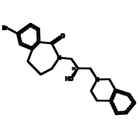 O=C1c2ccc(Br)cc2CCCN1C[C@H](O)CN1CCc2ccccc2C1